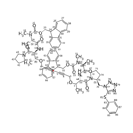 CC(OCC#CC#CCO[C@H](C)[C@H](NC(=O)[C@H](C)N(C)C(=O)OCC1c2ccccc2-c2ccccc21)C(=O)N1CCCC1)[C@H](NC(=O)[C@H](C)N(C)C(=O)OCC1c2ccccc2-c2ccccc21)C(=O)N1CCC[C@H]1Cn1nnnc1Sc1ccccc1